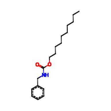 CCCCCCCCCCOC(=O)NCc1ccccc1